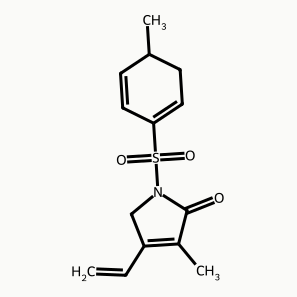 C=CC1=C(C)C(=O)N(S(=O)(=O)C2=CCC(C)C=C2)C1